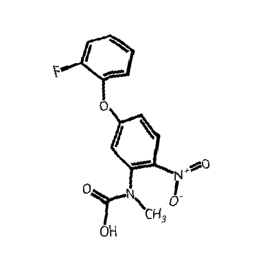 CN(C(=O)O)c1cc(Oc2ccccc2F)ccc1[N+](=O)[O-]